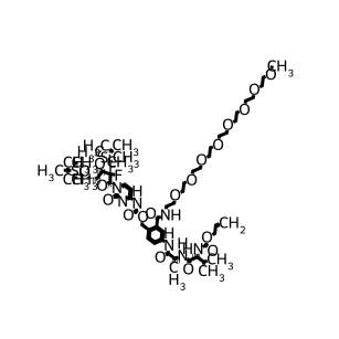 C=CCOC(=O)N[C@H](C(=O)N[C@@H](C)C(=O)Nc1ccc(COC(=O)Nc2ccn([C@@H]3O[C@H](CO[Si](C)(C)C(C)(C)C)[C@@H](O[Si](C)(C)C(C)(C)C)C3(F)F)c(=O)n2)c(C(=O)NCCOCCOCCOCCOCCOCCOCCOCCOC)c1)C(C)C